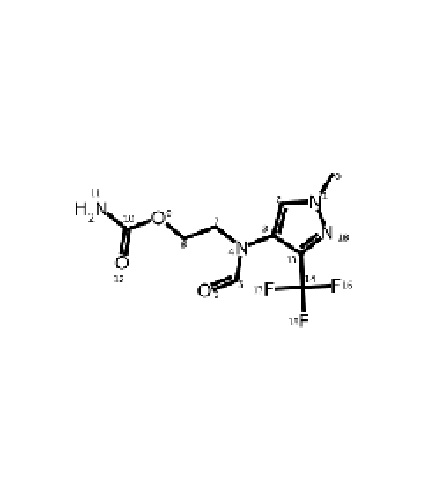 Cn1cc(N(C=O)CCOC(N)=O)c(C(F)(F)F)n1